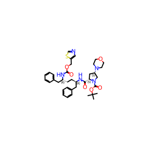 CC(C)(C)OC(=O)N1C[C@@H](N2CCOCC2)C[C@H]1C(=O)N[C@H](CC[C@H](Cc1ccccc1)NC(=O)OCc1cncs1)Cc1ccccc1